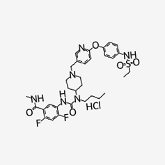 CCCCN(C(=O)Nc1cc(C(=O)NC)c(F)cc1F)C1CCN(Cc2ccc(Oc3ccc(NS(=O)(=O)CC)cc3)nc2)CC1.Cl